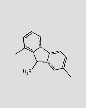 BC1c2cc(C)ccc2-c2cccc(C)c21